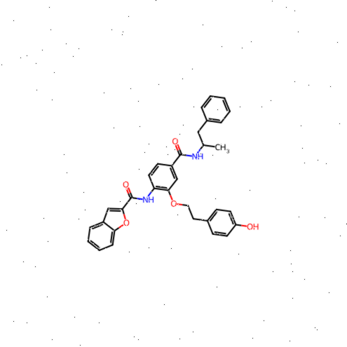 CC(Cc1ccccc1)NC(=O)c1ccc(NC(=O)c2cc3ccccc3o2)c(OCCc2ccc(O)cc2)c1